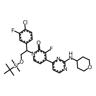 CC(C)(C)[Si](C)(C)OCC(c1ccc(Cl)c(F)c1)n1ccc(-c2ccnc(NC3CCOCC3)n2)c(F)c1=O